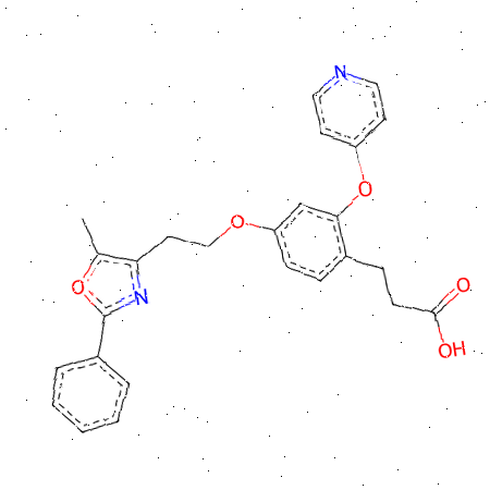 Cc1oc(-c2ccccc2)nc1CCOc1ccc(CCC(=O)O)c(Oc2ccncc2)c1